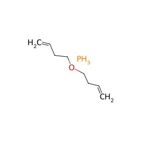 C=CCCOCCC=C.P